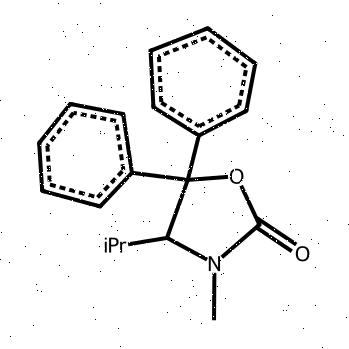 CC(C)C1N(C)C(=O)OC1(c1ccccc1)c1ccccc1